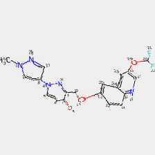 Cn1cc(-n2ccc(=O)c(COc3ccc4ncc(OC(F)F)cc4c3)n2)cn1